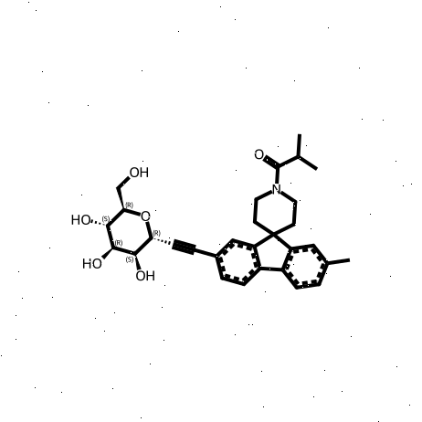 Cc1ccc2c(c1)C1(CCN(C(=O)C(C)C)CC1)c1cc(C#C[C@H]3O[C@H](CO)[C@@H](O)[C@H](O)[C@@H]3O)ccc1-2